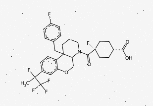 CC(F)(c1ccc2c(c1)OCC1N(C(=O)[C@]3(F)CC[C@@H](C(=O)O)CC3)CCCC21Cc1ccc(F)cc1)C(F)(F)F